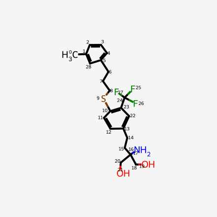 Cc1cccc(CCCSc2ccc(CCC(N)(CO)CO)cc2C(F)(F)F)c1